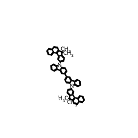 CC1(C)c2ccc(-n3c4ccccc4c4cc(-c5ccc6c(c5)c5ccccc5n6-c5ccc6c(c5)-c5c(ccc7ccccc57)C6(C)C)ccc43)cc2-c2c1ccc1ccccc21